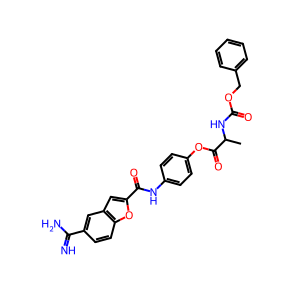 CC(NC(=O)OCc1ccccc1)C(=O)Oc1ccc(NC(=O)c2cc3cc(C(=N)N)ccc3o2)cc1